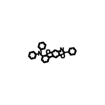 c1ccc(-c2nc3cc4oc5c(N(c6ccccc6)c6ccccc6)cccc5c4cc3o2)cc1